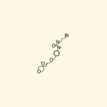 COC1(/C=C/COCc2ccc(N(C)C(=O)N(C)CCCBr)cc2)CCOCC1